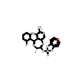 C[C@@H]1N=C(c2c(F)cccc2F)c2c(cnc(C(F)(F)F)c2Cl)N=C1OP(=O)(Oc1ccccc1)Oc1ccccc1